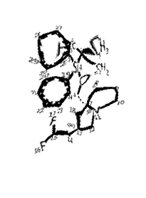 CC(C)(C)[Si](OC[C@]12CCCN1C[C@@H](C=C(F)F)C2)(c1ccccc1)c1ccccc1